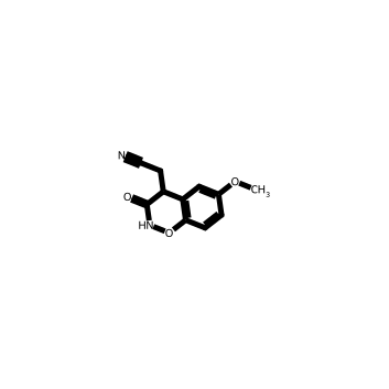 COc1ccc2c(c1)C(CC#N)C(=O)NO2